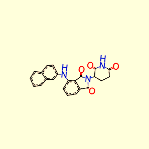 O=C1CCC(N2C(=O)c3cccc(Nc4ccc5ccccc5c4)c3C2=O)C(=O)N1